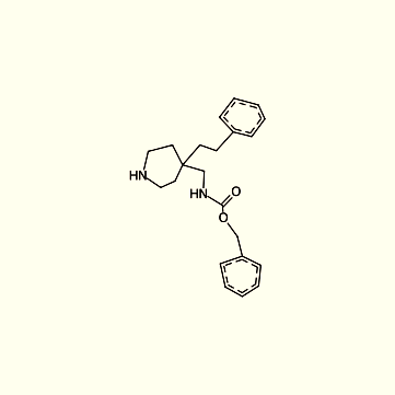 O=C(NCC1(CCc2ccccc2)CCNCC1)OCc1ccccc1